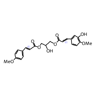 COc1ccc(/C=C/C(=O)OCC(O)COC(=O)/C=C/c2ccc(OC)c(O)c2)cc1